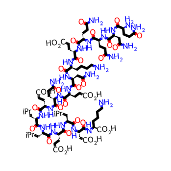 CC(C)C[C@H](NC(=O)[C@H](CCC(=O)O)NC(=O)[C@H](CC(C)C)NC(=O)[C@H](CC(C)C)NC(=O)[C@H](CCC(=O)O)NC(=O)[C@H](CCC(N)=O)NC(=O)[C@H](CCC(=O)O)NC(=O)[C@H](CC(N)=O)NC(=O)[C@H](CCCCN)NC(=O)[C@H](CCC(=O)O)NC(=O)[C@H](CCC(N)=O)NC(=O)[C@H](CCC(N)=O)NC(=O)[C@H](CC(N)=O)NC(=O)[C@@H](N)CCC(N)=O)C(=O)N[C@@H](CC(=O)O)C(=O)N[C@@H](CCCCN)C(=O)O